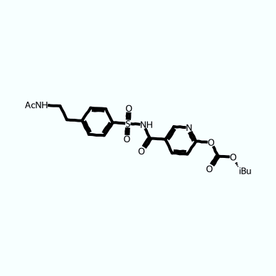 CC[C@@H](C)OC(=O)Oc1ccc(C(=O)NS(=O)(=O)c2ccc(CCNC(C)=O)cc2)cn1